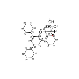 O=S(=O)(O)C(F)(F)C(F)(F)Oc1c(C2CCCCC2)cc(C2CCCCC2)cc1C1CCCCC1